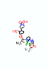 CCOC(=O)c1cnn(-c2cccc(-c3sc(C)cc3COc3ccc(C4=CCN(C(=O)O)CC4)c(CO)c3)n2)c1C(F)(F)F